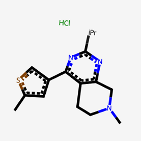 Cc1cc(-c2nc(C(C)C)nc3c2CCN(C)C3)cs1.Cl